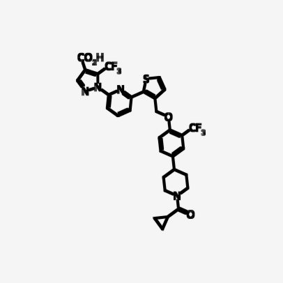 O=C(O)c1cnn(-c2cccc(-c3sccc3COc3ccc(C4CCN(C(=O)C5CC5)CC4)cc3C(F)(F)F)n2)c1C(F)(F)F